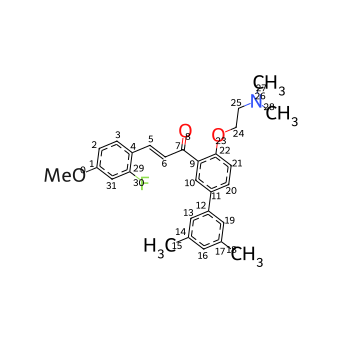 COc1ccc(C=CC(=O)c2cc(-c3cc(C)cc(C)c3)ccc2OCCN(C)C)c(F)c1